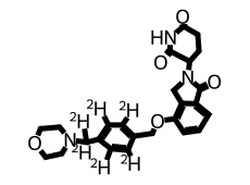 [2H]c1c([2H])c(C([2H])([2H])N2CCOCC2)c([2H])c([2H])c1COc1cccc2c1CN(C1CCC(=O)NC1=O)C2=O